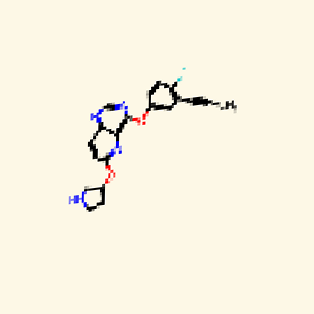 CC#Cc1cc(Oc2ncnc3ccc(O[C@H]4CCNC4)nc23)ccc1F